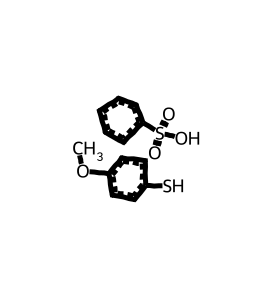 COc1ccc(S)cc1.O=S(=O)(O)c1ccccc1